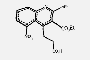 CCCc1nc2cccc([N+](=O)[O-])c2c(CCC(=O)O)c1C(=O)OCC